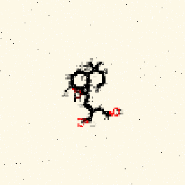 CC1(C)CCC[C@@]23CO[C@](C)(CC[C@@H]12)[C@@H]3C/C=C(/C=O)CC=O